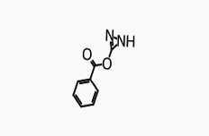 O=C(OC1=NN1)c1ccccc1